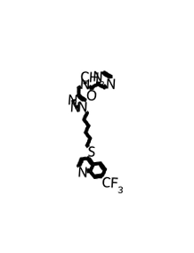 CN(Cc1cn(CCCCCCSc2ccnc3cc(C(F)(F)F)ccc23)nn1)C(=O)c1cnccn1